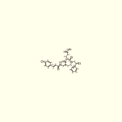 CCC(CN1CC[C@@H](CNC(=O)/C=C/c2ccc(Cl)cc2)N[C@@H](CCNC(C)C)C1=O)c1ccccc1